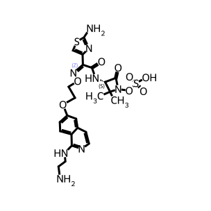 CC1(C)[C@H](NC(=O)/C(=N\OCCOc2ccc3c(NCCN)nccc3c2)c2csc(N)n2)C(=O)N1OS(=O)(=O)O